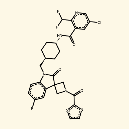 O=C(N[C@H]1CC[C@H](CN2C(=O)C3(CN(C(=O)c4nccs4)C3)c3cc(F)ccc32)CC1)c1cc(Cl)cnc1C(F)F